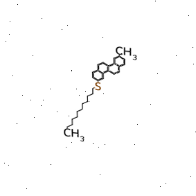 CCCCCCCCCCCCSc1ccc2ccc3c4cc(C)ccc4ccc3c2c1